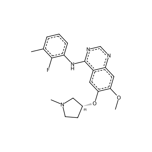 COc1cc2ncnc(Nc3cccc(C)c3F)c2cc1O[C@@H]1CCN(C)C1